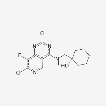 OC1(CNc2nc(Cl)nc3c(F)c(Cl)ncc23)CCCCC1